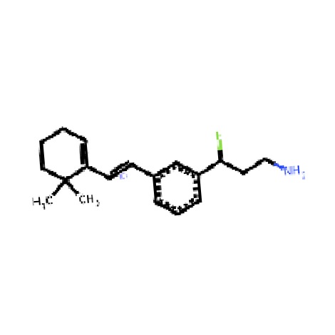 CC1(C)CCCC=C1/C=C/c1cccc(C(F)CCN)c1